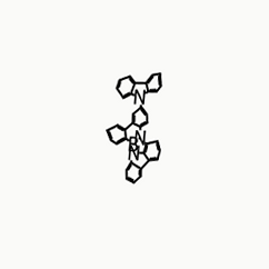 c1ccc2c(c1)B1N(c3ccc(-n4c5ccccc5c5ccccc54)cc3-2)c2cccc3c4ccccc4n1c23